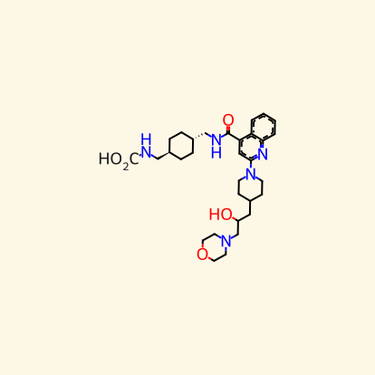 O=C(O)NC[C@H]1CC[C@H](CNC(=O)c2cc(N3CCC(CC(O)CN4CCOCC4)CC3)nc3ccccc23)CC1